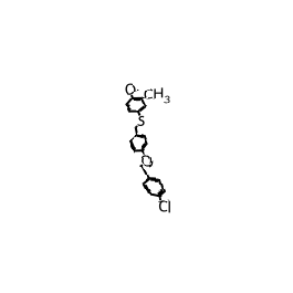 Cc1cc(SCc2ccc(OCc3ccc(Cl)cc3)cc2)ccc1[O]